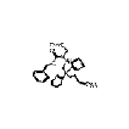 O=CCN(NCC(CCCO)(c1ccccc1)c1ccccc1)C(=O)OCc1ccccc1